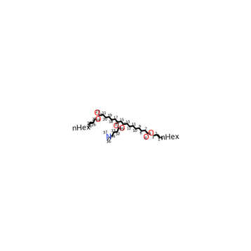 CCCCCCC=CCOC(=O)CCCCCCCC(CCCCCCCC(=O)OCC=CCCCCCC)OC(=O)CCCN(C)C